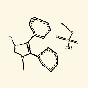 CCN1CN(C)C(c2ccccc2)=C1c1ccccc1.COS(=O)(=O)O